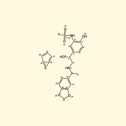 CC(NCC(O)c1ccc(O)c(NS(C)(=O)=O)c1)c1ccc2c(c1)OCO2.c1cc2cc-2c1